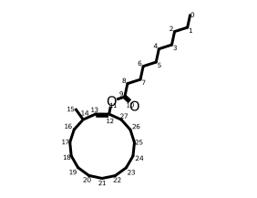 CCCCCCCCCC(=O)OC1=CC(C)CCCCCCCCCCCC1